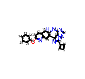 Nc1ncnn2c(C3=CC=C3)nc(-c3ccc4ccc(Oc5ccccc5)nc4c3)c12